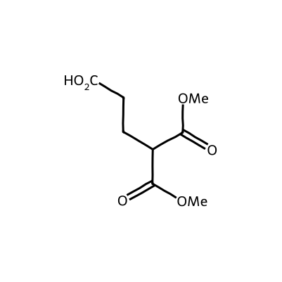 COC(=O)C(CCC(=O)O)C(=O)OC